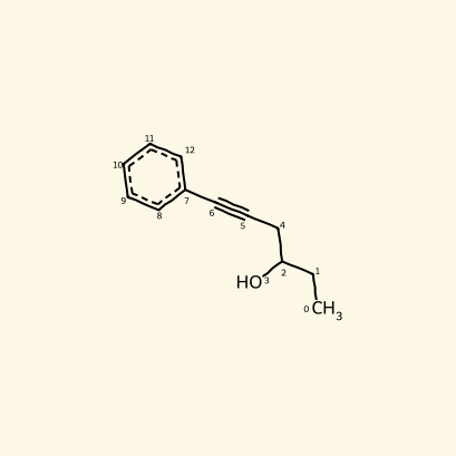 CCC(O)CC#Cc1ccccc1